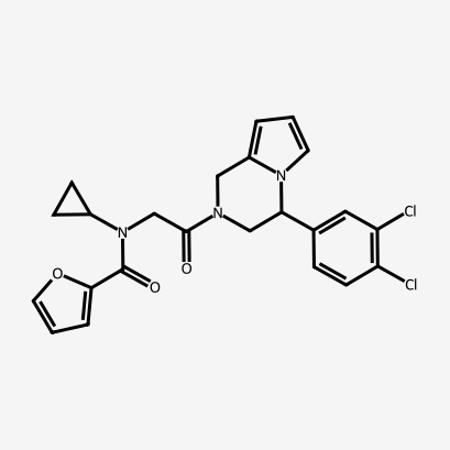 O=C(CN(C(=O)c1ccco1)C1CC1)N1Cc2cccn2C(c2ccc(Cl)c(Cl)c2)C1